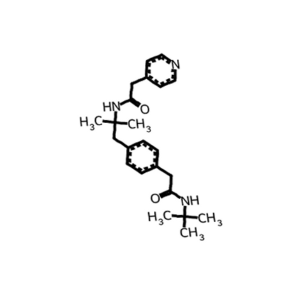 CC(C)(C)NC(=O)Cc1ccc(CC(C)(C)NC(=O)Cc2ccncc2)cc1